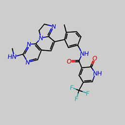 CNc1ncc2c(n1)N1CCN=C1C(c1cc(NC(=O)c3cc(C(F)(F)F)c[nH]c3=O)ccc1C)=C2